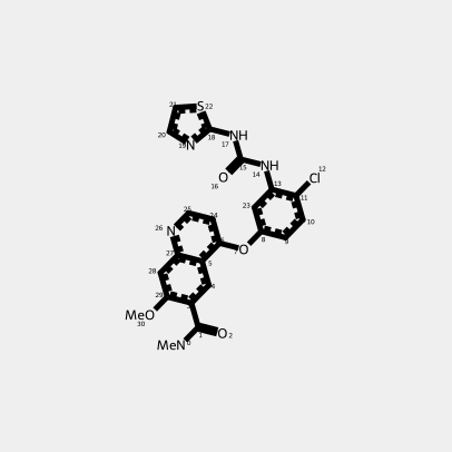 CNC(=O)c1cc2c(Oc3ccc(Cl)c(NC(=O)Nc4nccs4)c3)ccnc2cc1OC